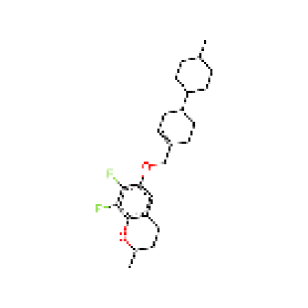 CC1CCC(C2CC=C(COc3cc4c(c(F)c3F)OC(C)CC4)CC2)CC1